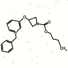 CCCCOC(=O)N1CC(Oc2ccc[n+](Cc3ccccc3)c2)C1